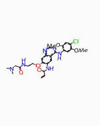 C=CC(=O)Nc1cc2c(Nc3cc(OC)c(Cl)cc3OC)ncnc2cc1OCCNC(=O)CN(C)C